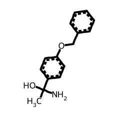 CC(N)(O)c1ccc(OCc2ccccc2)cc1